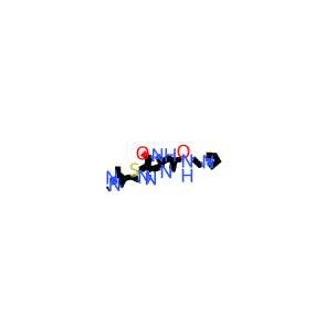 Cc1nn(C)cc1-c1cn2nc3c4ncc(C(=O)NCCN5CCCC5)cc4[nH]c(=O)c3c2s1